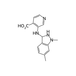 Cc1ccc2c(c1)N(C)NC2Nc1cnccc1C(=O)O